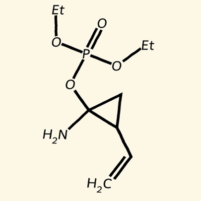 C=CC1CC1(N)OP(=O)(OCC)OCC